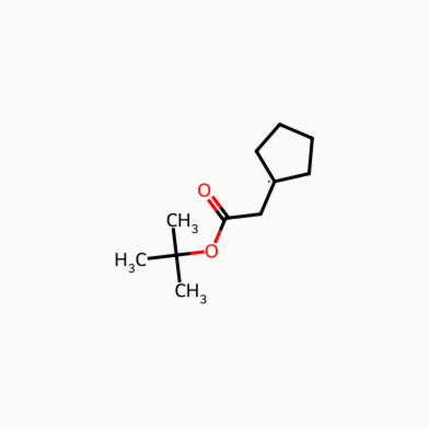 CC(C)(C)OC(=O)C[C]1CCCC1